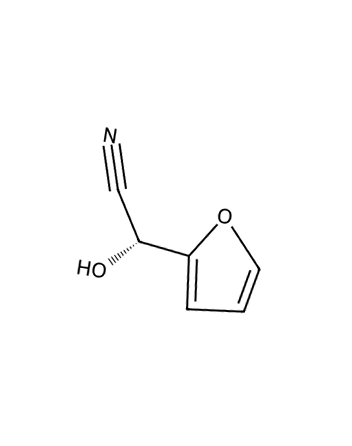 N#C[C@@H](O)c1ccco1